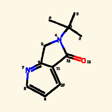 CC(C)(C)N1Cc2ncccc2C1=O